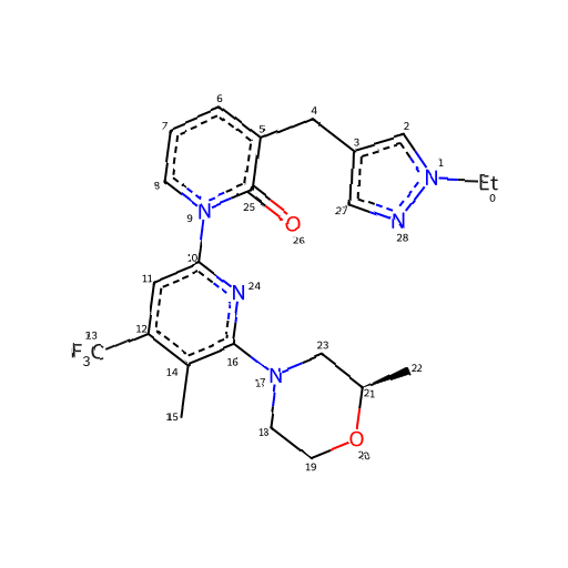 CCn1cc(Cc2cccn(-c3cc(C(F)(F)F)c(C)c(N4CCO[C@H](C)C4)n3)c2=O)cn1